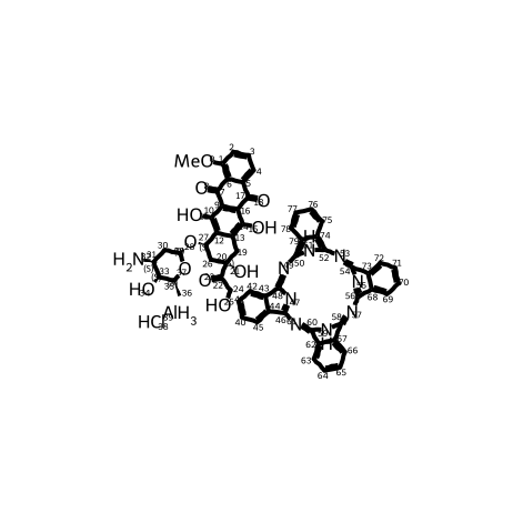 COc1cccc2c1C(=O)c1c(O)c3c(c(O)c1C2=O)C[C@@](O)(C(=O)CO)C[C@@H]3O[C@H]1C[C@H](N)[C@H](O)[C@H](C)O1.Cl.[AlH3].c1ccc2c(c1)-c1nc-2nc2[nH]c(nc3nc(nc4[nH]c(n1)c1ccccc41)-c1ccccc1-3)c1ccccc21